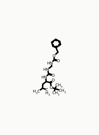 CC(C)CC(NC(=O)NCNC(=O)OCc1ccccc1)C(=O)OC(C)(C)C